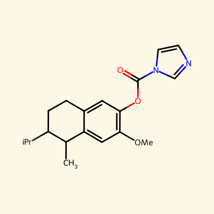 COc1cc2c(cc1OC(=O)n1ccnc1)CCC(C(C)C)C2C